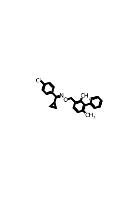 Cc1ccc(CO/N=C(/c2ccc(Cl)cc2)C2CC2)c(C)c1-c1ccccc1